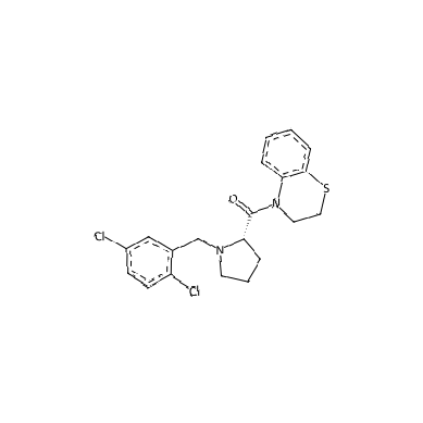 O=C([C@@H]1CCCN1Cc1cc(Cl)ccc1Cl)N1CCSc2ccccc21